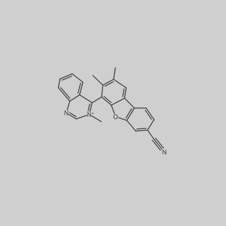 Cc1cc2c(oc3cc(C#N)ccc32)c(-c2c3ccccc3nc[n+]2C)c1C